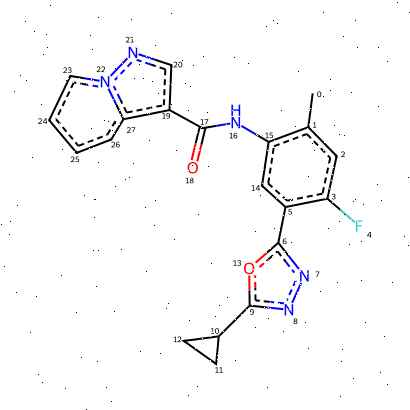 Cc1cc(F)c(-c2nnc(C3CC3)o2)cc1NC(=O)c1cnn2ccccc12